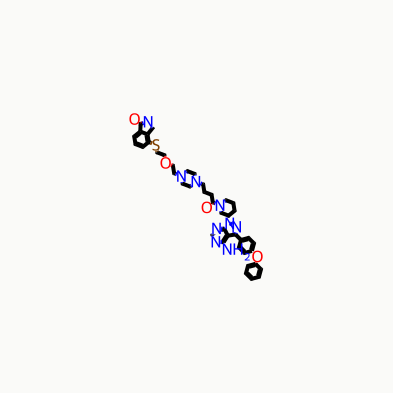 Nc1ncnc2c1c(-c1ccc(Oc3ccccc3)cc1)nn2[C@@H]1CCCN(C(=O)CCCN2CCN(CCOCCSc3cccc4c3C=NC4=O)CC2)C1